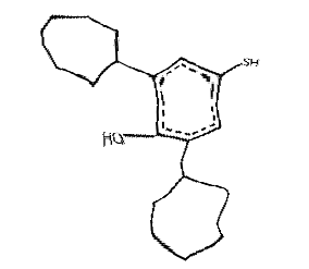 Oc1c(C2CCCCC2)cc(S)cc1C1CCCCC1